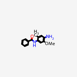 COc1cc(NC(=O)c2ccccc2)c(C)cc1N